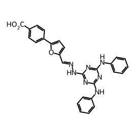 O=C(O)c1ccc(-c2ccc(/C=N/Nc3nc(Nc4ccccc4)nc(Nc4ccccc4)n3)o2)cc1